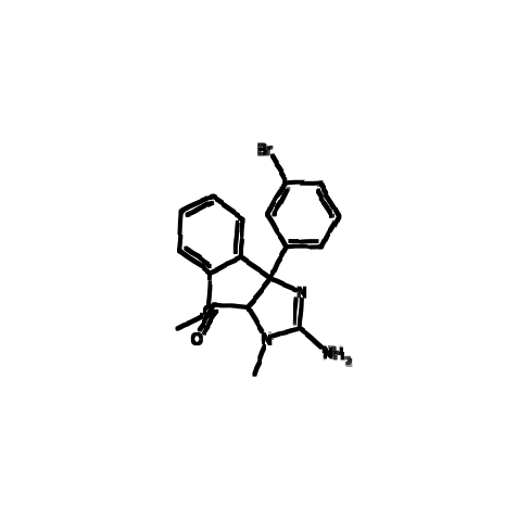 COc1ccccc1C1(c2cccc(Br)c2)N=C(N)N(C)C1C=O